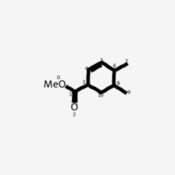 COC(=O)C1C=CC(C)C(C)C1